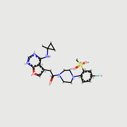 CC1(Nc2ncnc3occ(CC(=O)N4CCN(c5ccc(F)cc5S(C)(=O)=O)CC4)c23)CC1